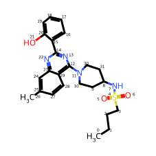 CCCCS(=O)(=O)NC1CCN(c2nc(-c3ccccc3O)nc3cc(C)ccc23)CC1